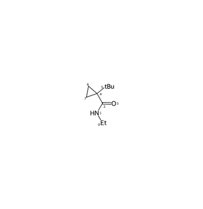 CCNC(=O)C1(C(C)(C)C)CC1